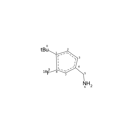 CC(C)(C)c1ccc(CN)cc1[18F]